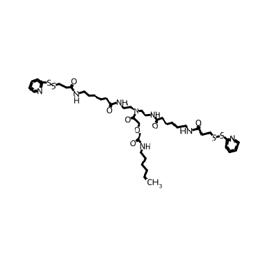 CCCCCCNC(=O)COCC(=O)N(CCNC(=O)CCCCCNC(=O)CCSSc1ccccn1)CCNC(=O)CCCCCNC(=O)CCSSc1ccccn1